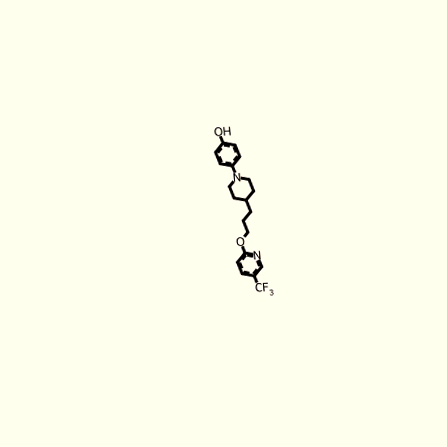 Oc1ccc(N2CCC(CCCOc3ccc(C(F)(F)F)cn3)CC2)cc1